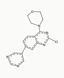 Clc1nc(N2CCOCC2)c2ccc(-c3cncnc3)cc2n1